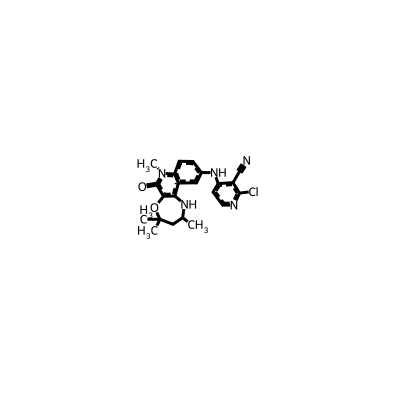 CC1CC(C)(C)Oc2c(c3cc(Nc4ccnc(Cl)c4C#N)ccc3n(C)c2=O)N1